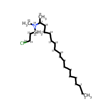 CCCCCCCCCCCCCCCCCC(C)N(C)[SiH2]CCCl